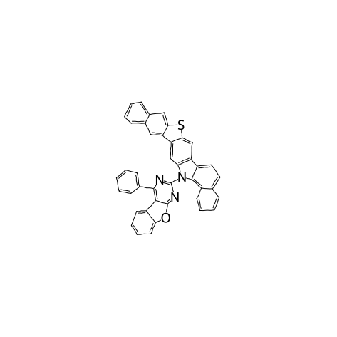 c1ccc(-c2nc(-n3c4cc5c(cc4c4ccc6ccccc6c43)sc3cc4ccccc4cc35)nc3oc4ccccc4c23)cc1